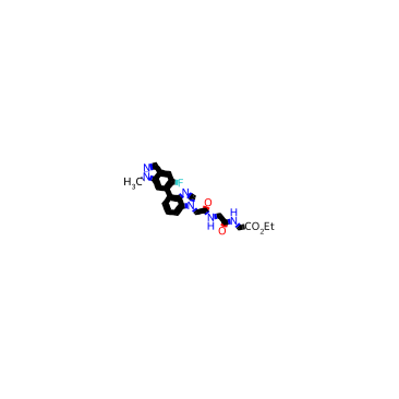 CCOC(=O)CNC(=O)CNC(=O)Cn1cnc2c(-c3cc4c(cnn4C)cc3F)cccc21